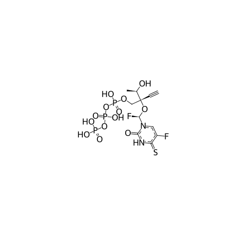 C#C[C@](COP(=O)(O)OP(=O)(O)OP(=O)(O)O)(O[C@H](F)n1cc(F)c(=S)[nH]c1=O)[C@@H](C)O